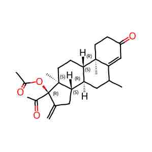 C=C1C[C@H]2[C@@H]3CC(C)C4=CC(=O)CC[C@]4(C)[C@H]3CC[C@]2(C)[C@@]1(OC(C)=O)C(C)=O